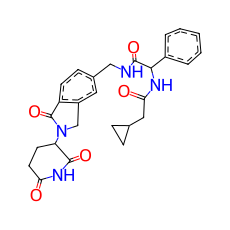 O=C1CCC(N2Cc3cc(CNC(=O)C(NC(=O)CC4CC4)c4ccccc4)ccc3C2=O)C(=O)N1